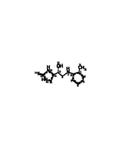 Cc1ccccc1NCC(O)c1c[nH]c(=S)[nH]1